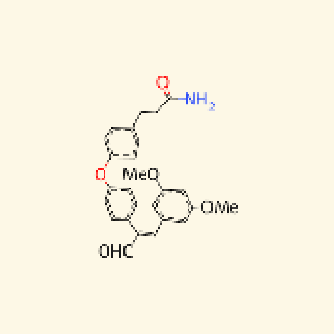 COc1cc(/C=C(/C=O)c2ccc(Oc3ccc(CCC(N)=O)cc3)cc2)cc(OC)c1